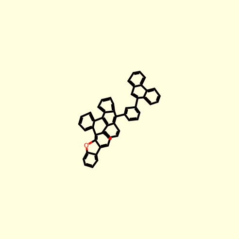 c1cc(-c2c3ccccc3c(-c3ccccc3-c3cccc4c3oc3ccccc34)c3ccccc23)cc(-c2cc3ccccc3c3ccccc23)c1